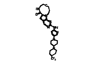 O=C1NCCCCCCn2c1cc1cnc(Nc3ccc(N4CCC(N5CCC(C(F)(F)F)CC5)CC4)cn3)nc12